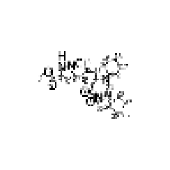 COC(=O)c1cc(-c2cc3c(cc2Cl)N(c2ccccc2)C[C@@H](C2CCCCC2)N(C)S3(=O)=O)n[nH]1